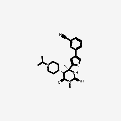 CC(C)N1CCC([C@H]2C(=O)N(C)C(=N)N[C@]2(C)c2cc(-c3cccc(C#N)c3)cs2)CC1